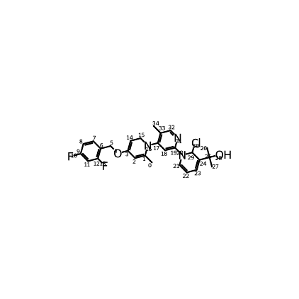 CC1=CC(OCc2ccc(F)cc2F)=CCN1c1cc(N2C=CC=C(C(C)(C)O)C2Cl)ncc1C